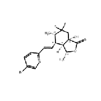 C[C@H]1OC(=O)[C@]2(O)CC(F)(F)[C@@H](C)[C@H](C=Cc3ccc(Br)cn3)[C@H]12